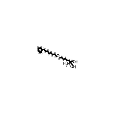 NC(CO)(CO)CCCCCCOCCCCCCCCc1ccccc1